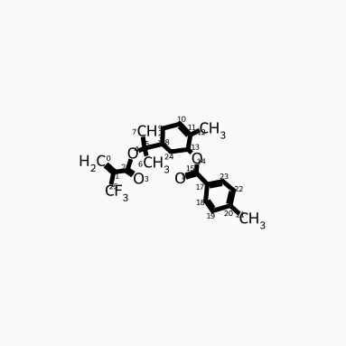 C=C(C(=O)OC(C)(C)C1CC=C(C)C(OC(=O)c2ccc(C)cc2)C1)C(F)(F)F